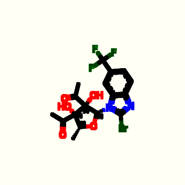 CC(=O)[C@@]1(O)[C@@H](C)O[C@@H](n2c(Br)nc3ccc(C(F)(F)F)cc32)[C@@]1(O)C(C)=O